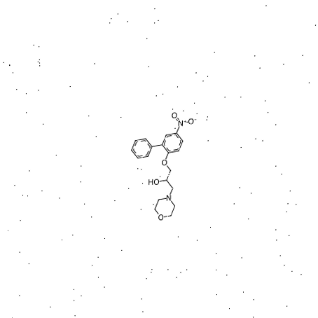 O=[N+]([O-])c1ccc(OCC(O)CN2CCOCC2)c(-c2ccccc2)c1